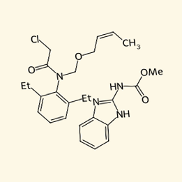 C/C=C\COCN(C(=O)CCl)c1c(CC)cccc1CC.COC(=O)Nc1nc2ccccc2[nH]1